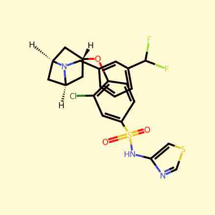 O=S(=O)(Nc1cscn1)c1ccc(O[C@H]2C[C@@H]3C[C@H](C2)N3Cc2cccc(C(F)F)c2)c(Cl)c1